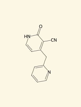 N#Cc1c(Cc2ccccn2)cc[nH]c1=O